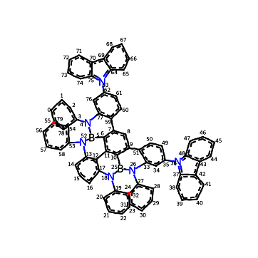 c1ccc(N2B3c4c(cc5c6c4-c4c(cccc4N(c4ccccc4)B6N(c4ccccc4)c4cc(-n6c7ccccc7c7ccccc76)ccc4-5)N3c3ccccc3)-c3ccc(-n4c5ccccc5c5ccccc54)cc32)cc1